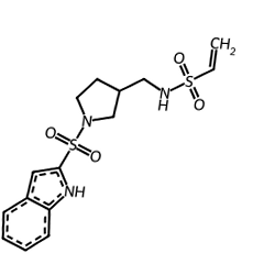 C=CS(=O)(=O)NCC1CCN(S(=O)(=O)c2cc3ccccc3[nH]2)C1